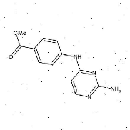 COC(=O)c1ccc(Nc2ccnc(N)n2)cc1